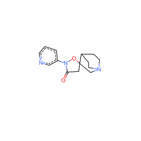 O=C1CC2(CN3CCC2CC3)ON1c1cccnc1